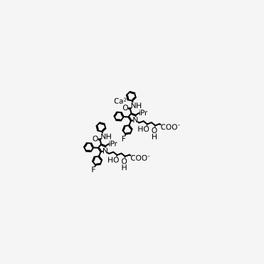 CC(C)c1c(C(=O)Nc2ccccc2)c(-c2ccccc2)c(-c2ccc(F)cc2)n1CC[C@H](O)C[C@H](O)CC(=O)[O-].CC(C)c1c(C(=O)Nc2ccccc2)c(-c2ccccc2)c(-c2ccc(F)cc2)n1CC[C@H](O)C[C@H](O)CC(=O)[O-].[Ca+2]